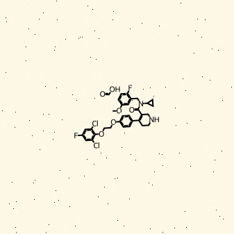 COc1ccc(F)c(CN(C(=O)C2=C(c3ccc(OCCOc4c(Cl)cc(F)cc4Cl)cc3)CCNC2)C2CC2)c1.O=CO